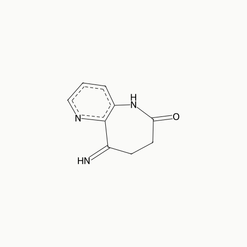 N=C1CCC(=O)Nc2cccnc21